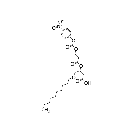 CCCCCCCCCCOCC(CC(=O)O)OC(=O)CCOC(=O)Oc1ccc([N+](=O)[O-])cc1